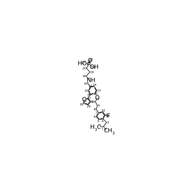 CC(C)Cc1ccc(CCCOc2ccc(CNCCCP(=O)(O)O)cc2-c2ccco2)cc1F